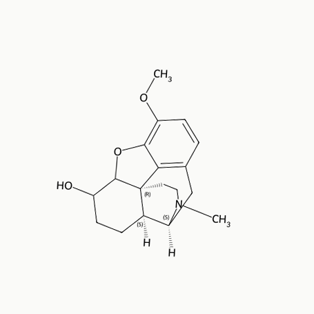 COc1ccc2c3c1OC1C(O)CC[C@@H]4[C@H](C2)N(C)CC[C@@]314